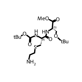 COC(=O)[C@H](COC(C)(C)C)NC(=O)[C@H](CSCCN)NC(=O)OC(C)(C)C